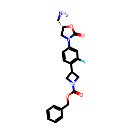 NC[C@H]1CN(c2ccc(C3CN(C(=O)OCc4ccccc4)C3)c(F)c2)C(=O)O1